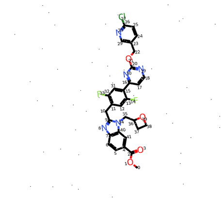 COC(=O)c1ccc2nc(Cc3cc(F)c(-c4ccnc(OCc5ccc(Cl)nc5)n4)cc3F)n(CC3CCO3)c2c1